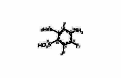 CCCCCCc1c(C)c(N)c(F)c(F)c1S(=O)(=O)O